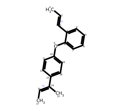 C/C=C/c1ccccc1Oc1ccc(/C(C)=C/C)cc1